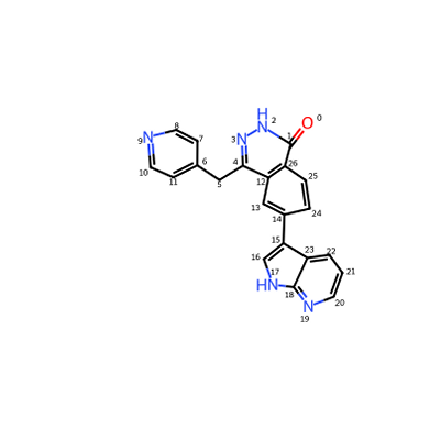 O=c1[nH]nc(Cc2ccncc2)c2cc(-c3c[nH]c4ncccc34)ccc12